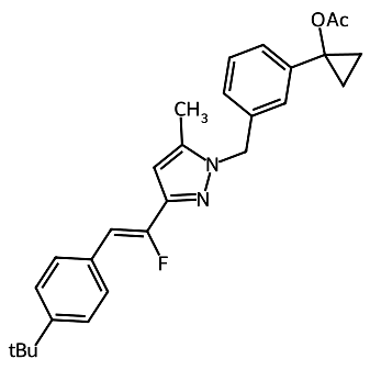 CC(=O)OC1(c2cccc(Cn3nc(C(F)=Cc4ccc(C(C)(C)C)cc4)cc3C)c2)CC1